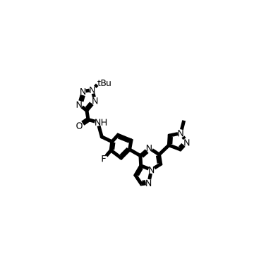 Cn1cc(-c2cn3nccc3c(-c3ccc(CNC(=O)c4nnn(C(C)(C)C)n4)c(F)c3)n2)cn1